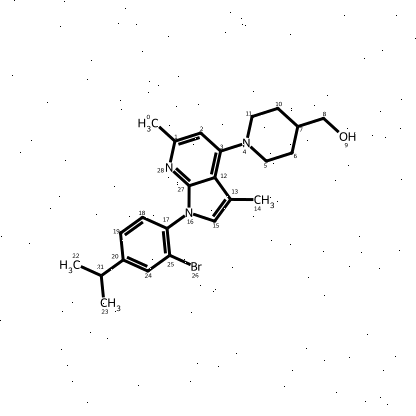 Cc1cc(N2CCC(CO)CC2)c2c(C)cn(-c3ccc(C(C)C)cc3Br)c2n1